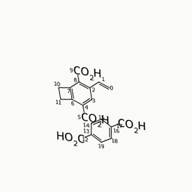 C=Cc1cc(C(=O)O)c2c(c1C(=O)O)CC2.O=C(O)c1ccc(C(=O)O)cc1